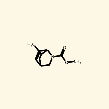 COC(=O)N1CC2C=CC1C(C)C2